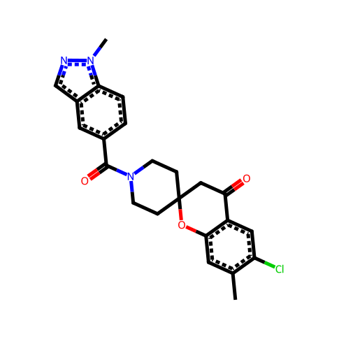 Cc1cc2c(cc1Cl)C(=O)CC1(CCN(C(=O)c3ccc4c(cnn4C)c3)CC1)O2